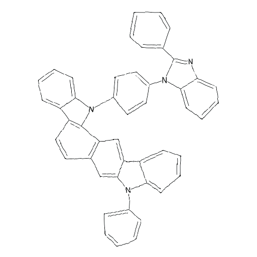 c1ccc(-c2nc3ccccc3n2-c2ccc(-n3c4ccccc4c4ccc5cc6c(cc5c43)c3ccccc3n6-c3ccccc3)cc2)cc1